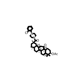 CC(=O)O[C@H]1CC[C@]2(C)[C@H]3C(=O)C=C4[C@@H]5C[C@@](C)(C(=O)N6CCN(c7ccccc7Cl)CC6)CC[C@]5(C)CC[C@@]4(C)[C@]3(C)CC[C@H]2C1(C)C